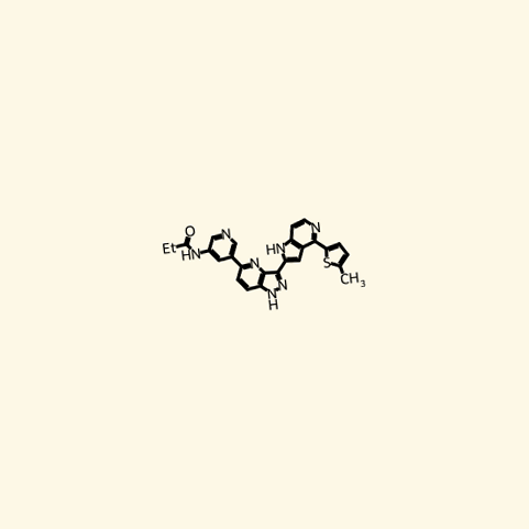 CCC(=O)Nc1cncc(-c2ccc3[nH]nc(-c4cc5c(-c6ccc(C)s6)nccc5[nH]4)c3n2)c1